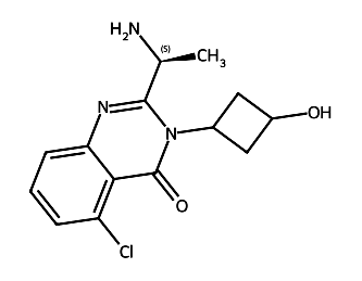 C[C@H](N)c1nc2cccc(Cl)c2c(=O)n1C1CC(O)C1